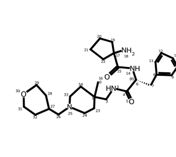 CC1(CNC(=O)[C@@H](Cc2ccccc2)NC(=O)C2(N)CCCC2)CCN(CC2CCOCC2)CC1